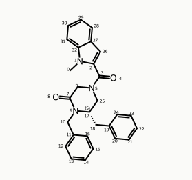 Cn1c(C(=O)N2CC(=O)N(Cc3ccccc3)[C@@H](Cc3ccccc3)C2)cc2ccccc21